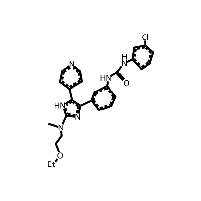 CCOCCN(C)c1nc(-c2cccc(NC(=O)Nc3cccc(Cl)c3)c2)c(-c2ccncc2)[nH]1